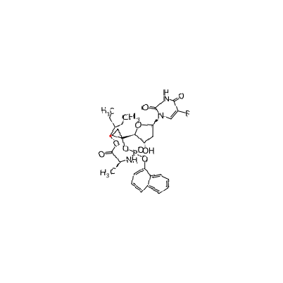 CCC(CC)COC(=O)[C@H](C)N[P@@](=O)(Oc1cccc2ccccc12)OC1([C@H]2O[C@@H](n3cc(F)c(=O)[nH]c3=O)C[C@@H]2O)CC1